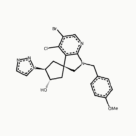 COc1ccc(CN2C[C@]3(C[C@H](O)[C@@H](n4ccnn4)C3)c3c2ncc(Br)c3Cl)cc1